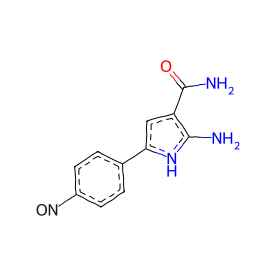 NC(=O)c1cc(-c2ccc(N=O)cc2)[nH]c1N